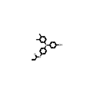 C=CC(=O)Oc1ccc(N(c2ccc(O)cc2)c2ccc(C)c(C)c2)cc1